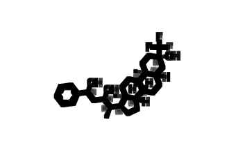 C[C@@H]([C@H](O)C[C@H](O)c1ccccc1)[C@@H]1CC[C@H]2[C@@H]3CC[C@H]4C[C@](O)(C(F)(F)F)CC[C@]4(C)[C@H]3CC[C@]12C